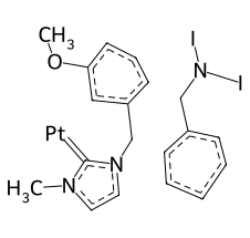 COc1cccc(Cn2ccn(C)[c]2=[Pt])c1.IN(I)Cc1ccccc1